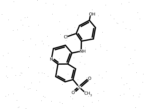 CS(=O)(=O)c1ccc2nccc(Nc3ccc(O)cc3Cl)c2c1